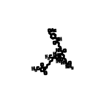 CC(=O)OCc1ccc(NC(=O)CCCNC(=O)C(CCCNC(N)=O)NC(=O)C(NC(CCCCCN2C(=O)CC(C)C2=O)C(F)(F)F)C(C)C)cc1